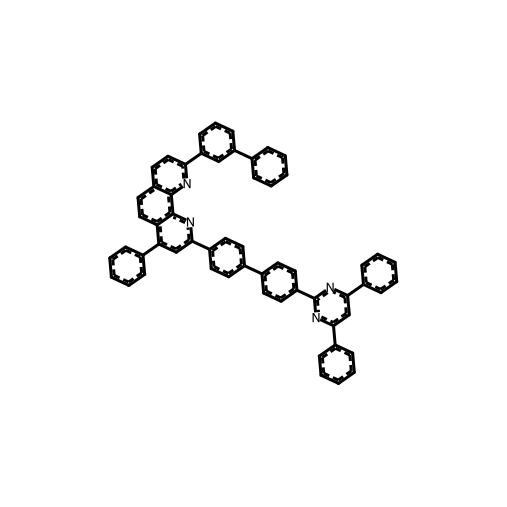 c1ccc(-c2cccc(-c3ccc4ccc5c(-c6ccccc6)cc(-c6ccc(-c7ccc(-c8nc(-c9ccccc9)cc(-c9ccccc9)n8)cc7)cc6)nc5c4n3)c2)cc1